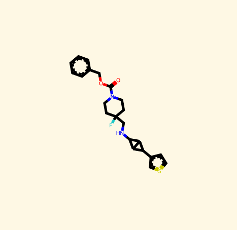 O=C(OCc1ccccc1)N1CCC(F)(CNC2C3C(c4ccsc4)C23)CC1